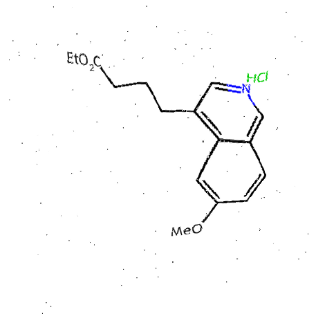 CCOC(=O)CCCc1cncc2ccc(OC)cc12.Cl